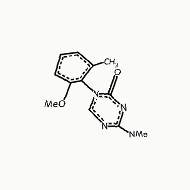 CNc1ncn(-c2c(C)cccc2OC)c(=O)n1